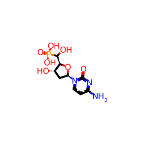 Nc1ccn([C@H]2C[C@H](O)[C@@H](C(O)P(=O)(O)O)O2)c(=O)n1